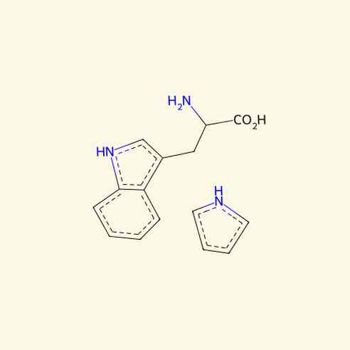 NC(Cc1c[nH]c2ccccc12)C(=O)O.c1cc[nH]c1